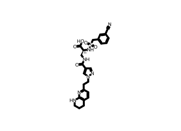 N#Cc1cccc(CS(=O)(=O)N[C@@H](CNC(=O)c2cnn(CCc3ccc4c(n3)NCCC4)c2)C(=O)O)c1